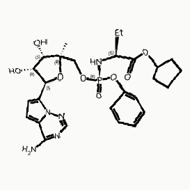 CC[C@H](N[P@@](=O)(OC[C@@]1(C)O[C@@H](c2ccc3c(N)ncnn23)[C@H](O)[C@@H]1O)Oc1ccccc1)C(=O)OC1CCCC1